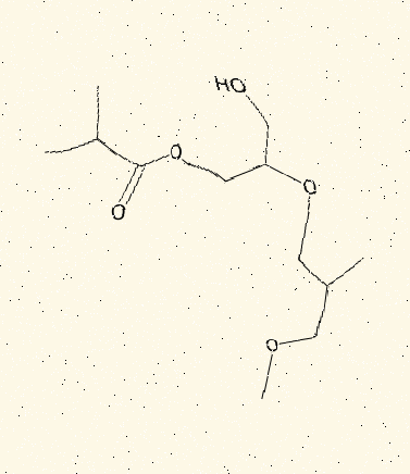 COCC(C)COC(CO)COC(=O)C(C)C